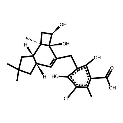 Cc1c(Cl)c(O)c(CC2=C[C@@H]3CC(C)(C)C[C@@H]3[C@@]3(C)C[C@@H](O)[C@]23O)c(O)c1C(=O)O